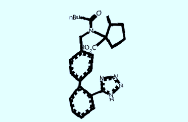 CCCCC(=O)N(Cc1ccc(-c2ccccc2-c2nnn[nH]2)cc1)C1(C(=O)O)CCCC1C